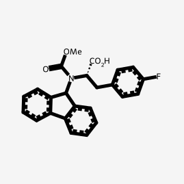 COC(=O)N(C1c2ccccc2-c2ccccc21)[C@@H](Cc1ccc(F)cc1)C(=O)O